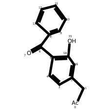 CC(=O)Cc1ccc(C(=O)c2ccccc2)c(O)c1